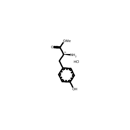 COC(=O)[C@@H](N)Cc1ccc(O)cc1.Cl